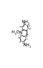 CN1c2ccc(N)cc2Sc2ccc(N)cc21